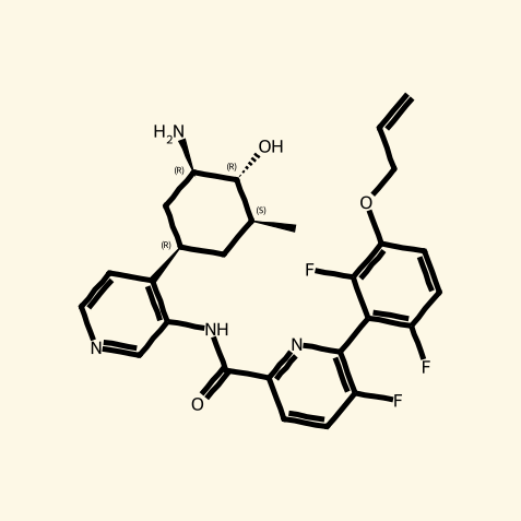 C=CCOc1ccc(F)c(-c2nc(C(=O)Nc3cnccc3[C@H]3C[C@@H](N)[C@H](O)[C@@H](C)C3)ccc2F)c1F